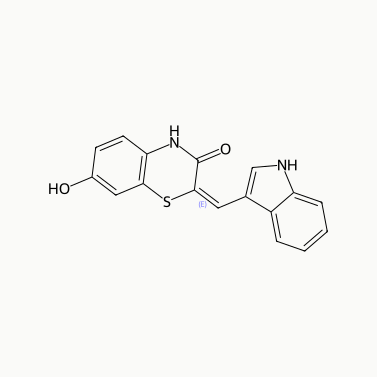 O=C1Nc2ccc(O)cc2S/C1=C/c1c[nH]c2ccccc12